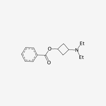 CCN(CC)C1CC(OC(=O)c2ccccc2)C1